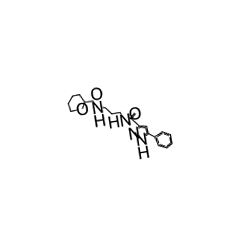 O=C(NCCCNC(=O)C1CCCCO1)c1cc(-c2ccccc2)[nH]n1